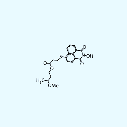 COC(C)CCOC(=O)CCSc1ccc2c3c(cccc13)C(=O)N(O)C2=O